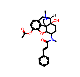 CC(=O)Oc1ccc2c3c1OC1C(N(C)C(=O)/C=C/c4ccccc4)CC[C@@]4(O)[C@@H](C2)N(C)CC[C@]314